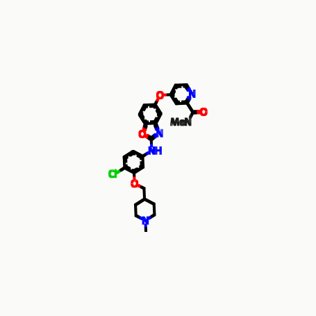 CNC(=O)c1cc(Oc2ccc3oc(Nc4ccc(Cl)c(OCC5CCN(C)CC5)c4)nc3c2)ccn1